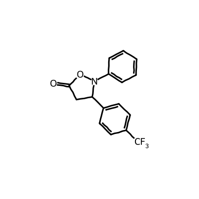 O=C1CC(c2ccc(C(F)(F)F)cc2)N(c2ccccc2)O1